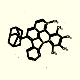 Cc1c(C)c(C)c2c(c1C)c1c3c(cc[n+]1C)cc(C14CC5CC(CC(C5)C1)C4)c1c4ccccc4n2c13